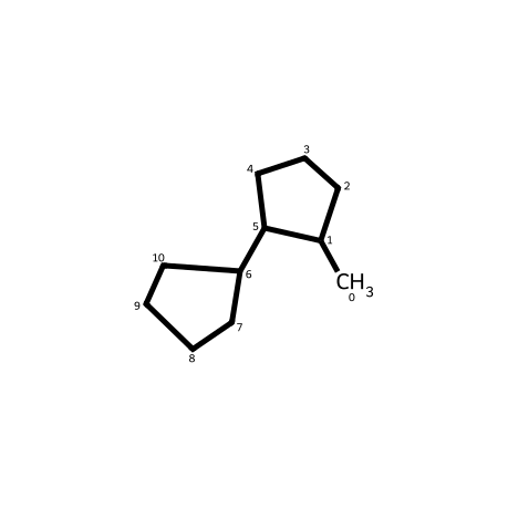 CC1CCCC1C1CCCC1